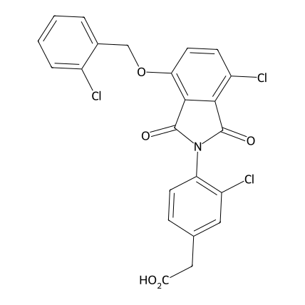 O=C(O)Cc1ccc(N2C(=O)c3c(Cl)ccc(OCc4ccccc4Cl)c3C2=O)c(Cl)c1